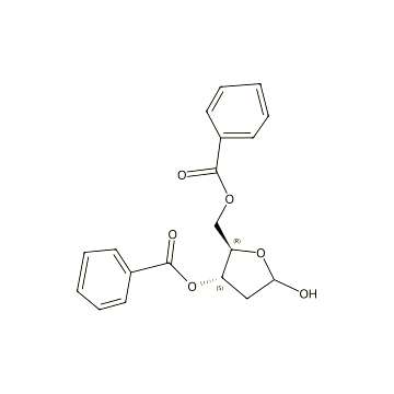 O=C(OC[C@H]1OC(O)C[C@@H]1OC(=O)c1ccccc1)c1ccccc1